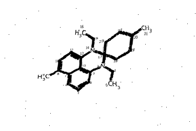 CCN1c2cccc3c(C)ccc(c23)N(CC)C12CCC(C)CC2